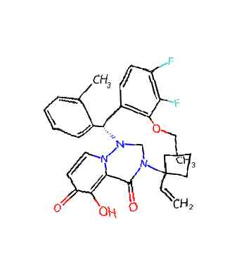 C=CC1(N2CN([C@H](c3ccccc3C)c3ccc(F)c(F)c3OCC)n3ccc(=O)c(O)c3C2=O)CCC1